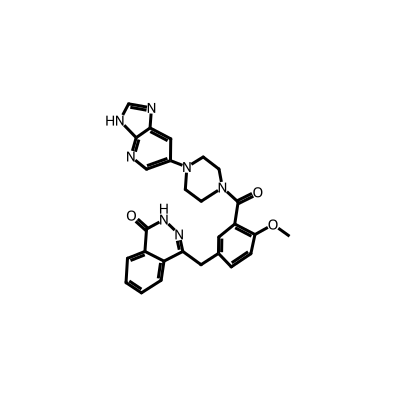 COc1ccc(Cc2n[nH]c(=O)c3ccccc23)cc1C(=O)N1CCN(c2cnc3[nH]cnc3c2)CC1